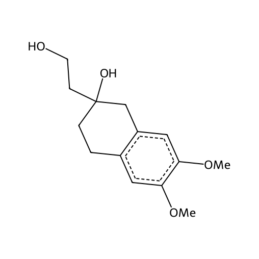 COc1cc2c(cc1OC)CC(O)(CCO)CC2